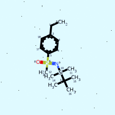 CCc1ccc(S(C)(=O)=N[Si](C)(C)C(C)(C)C)cc1